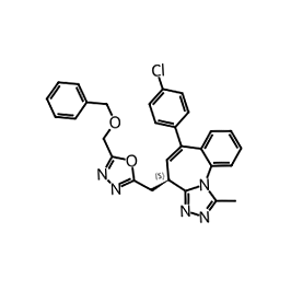 Cc1nnc2n1-c1ccccc1C(c1ccc(Cl)cc1)=C[C@@H]2Cc1nnc(COCc2ccccc2)o1